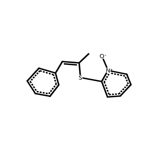 CC(=Cc1ccccc1)Sc1cccc[n+]1[O-]